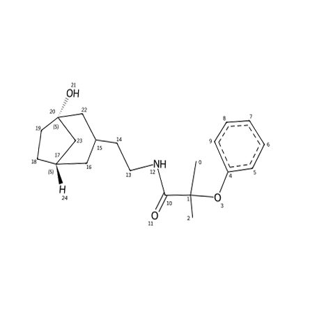 CC(C)(Oc1ccccc1)C(=O)NCCC1C[C@@H]2CC[C@@](O)(C1)C2